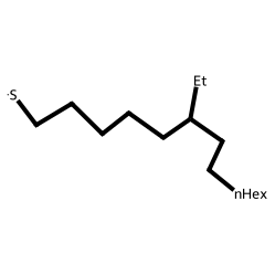 CCCCCCCCC(CC)CCCCC[S]